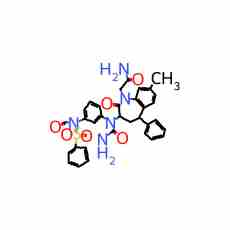 Cc1ccc2c(c1)N(CC(N)=O)C(=O)C(N(C(N)=O)c1cccc(N(C=O)S(=O)(=O)c3ccccc3)c1)CC2c1ccccc1